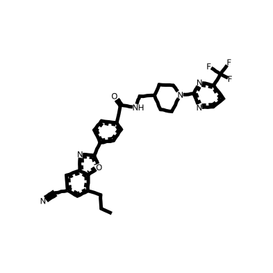 CCCc1cc(C#N)cc2nc(-c3ccc(C(=O)NCC4CCN(c5nccc(C(F)(F)F)n5)CC4)cc3)oc12